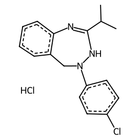 CC(C)C1=Nc2ccccc2CN(c2ccc(Cl)cc2)N1.Cl